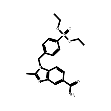 CCOP(=O)(OCC)c1ccc(Cn2c(C)nc3cc(C(N)=O)ccc32)cc1